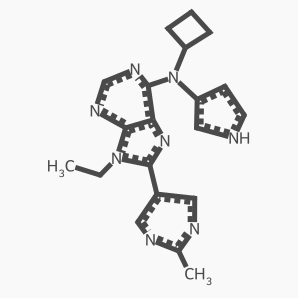 CCn1c(-c2cnc(C)nc2)nc2c(N(c3cc[nH]c3)C3CCC3)ncnc21